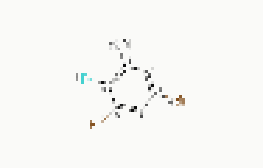 N#Cc1cc(Br)cc(Br)c1F